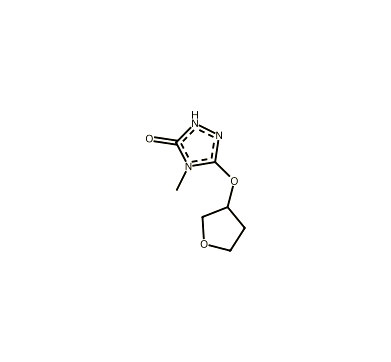 Cn1c(OC2CCOC2)n[nH]c1=O